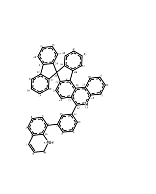 C1=Cc2cccc(-c3cccc(-c4nc5ccccc5c5c6c(ccc45)C4(c5ccccc5-c5ccccc54)c4ccccc4-6)c3)c2NC1